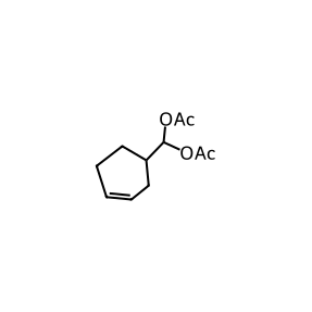 CC(=O)OC(OC(C)=O)C1CC=CCC1